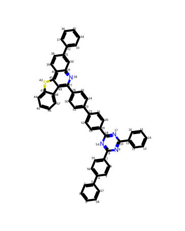 c1ccc(-c2ccc(-c3nc(-c4ccccc4)nc(-c4ccc(-c5ccc(-c6nc7cc(-c8ccccc8)ccc7c7sc8ccccc8c67)cc5)cc4)n3)cc2)cc1